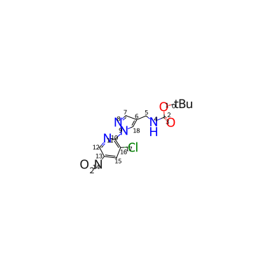 CC(C)(C)OC(=O)NCc1cnn(-c2ncc([N+](=O)[O-])cc2Cl)c1